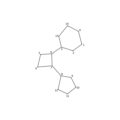 C1CCC([C]2CCC2C2CCCC2)CC1